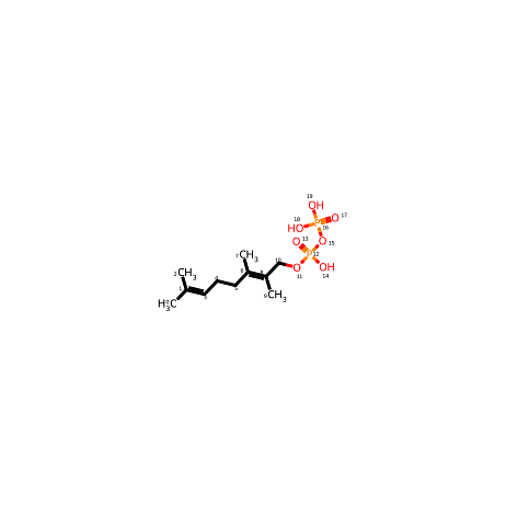 CC(C)=CCC/C(C)=C(\C)COP(=O)(O)OP(=O)(O)O